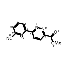 COC(=O)c1ccc(-c2cccc(C#N)n2)nn1